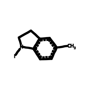 Cc1ccc2c(c1)CCN2I